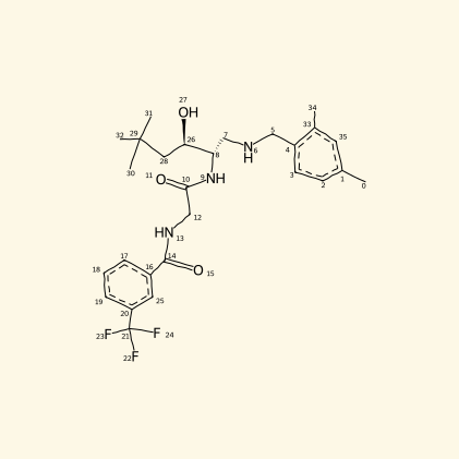 Cc1ccc(CNC[C@H](NC(=O)CNC(=O)c2cccc(C(F)(F)F)c2)[C@H](O)CC(C)(C)C)c(C)c1